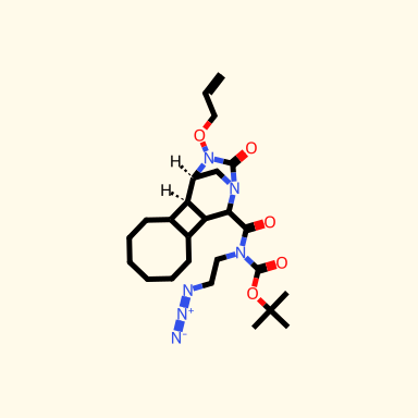 C=CCON1C(=O)N2C[C@H]1[C@@H]1C3CCCCCCC3C1C2C(=O)N(CCN=[N+]=[N-])C(=O)OC(C)(C)C